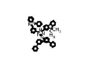 CC1(C)c2ccccc2-c2ccc(-c3nc(-c4cccc(-c5nc6ccccc6n5-c5ccccc5)c4)nc(-n4c5ccc(-c6ccccc6)cc5c5cc(-c6ccccc6)ccc54)n3)cc21